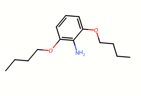 CCCCOc1cccc(OCCCC)c1N